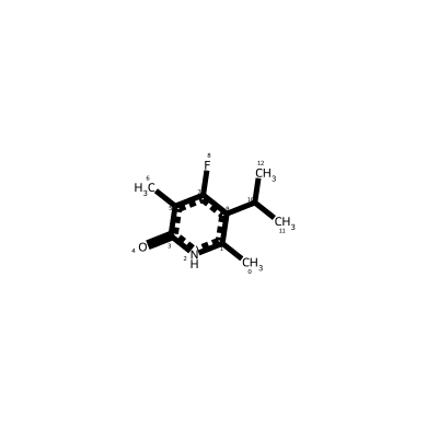 Cc1[nH]c(=O)c(C)c(F)c1C(C)C